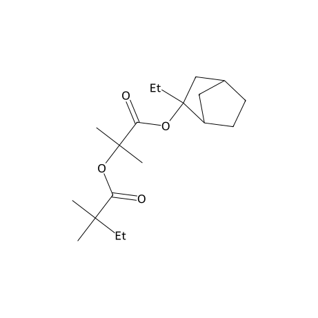 CCC(C)(C)C(=O)OC(C)(C)C(=O)OC1(CC)CC2CCC1C2